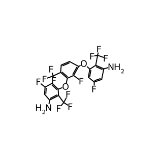 Nc1cc(F)cc(Oc2ccc(C(F)(F)F)c(Oc3cc(F)cc(N)c3C(F)(F)F)c2F)c1C(F)(F)F